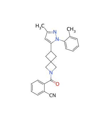 Cc1cc(C2CC3(C2)CN(C(=O)c2ccccc2C#N)C3)n(-c2ccccc2C)n1